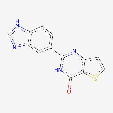 O=c1[nH]c(-c2ccc3[nH]cnc3c2)nc2ccsc12